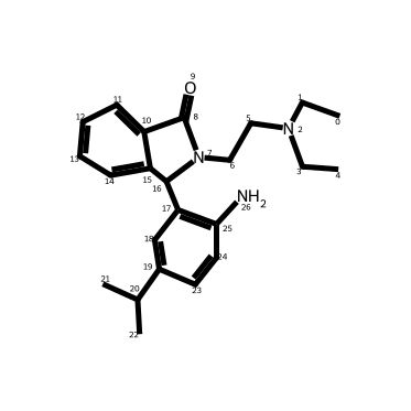 CCN(CC)CCN1C(=O)c2ccccc2C1c1cc(C(C)C)ccc1N